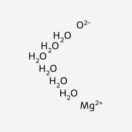 O.O.O.O.O.O.[Mg+2].[O-2]